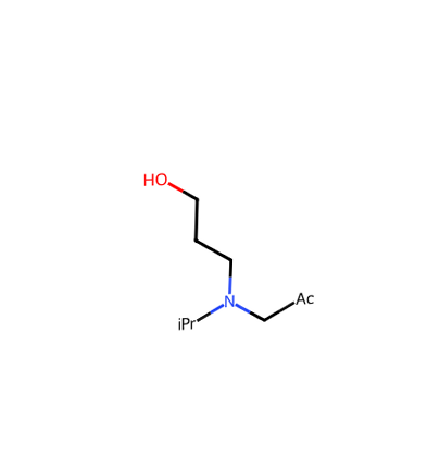 CC(=O)CN(CCCO)C(C)C